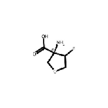 N[C@]1(C(=O)O)COCC1F